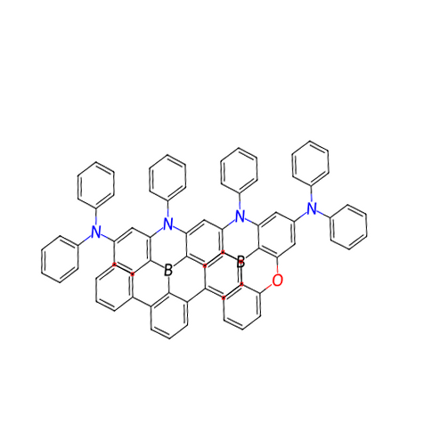 c1ccc(-c2cccc(-c3ccccc3)c2B2c3ccc(N(c4ccccc4)c4ccccc4)cc3N(c3ccccc3)c3cc4c(cc32)B2c3ccccc3Oc3cc(N(c5ccccc5)c5ccccc5)cc(c32)N4c2ccccc2)cc1